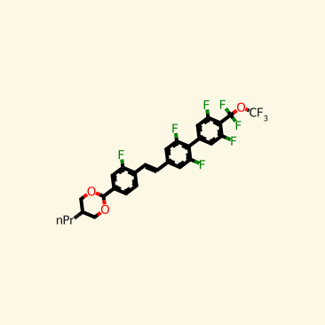 CCCC1COC(c2ccc(/C=C/c3cc(F)c(-c4cc(F)c(C(F)(F)OC(F)(F)F)c(F)c4)c(F)c3)c(F)c2)OC1